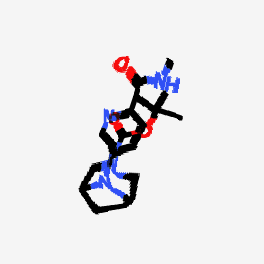 CNC(=O)c1ccc(N2C3CC2CN(C(=O)OC(C)(C)C)C3)cn1